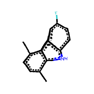 Cc1ccc(C)c2c1[nH]c1ccc(F)cc12